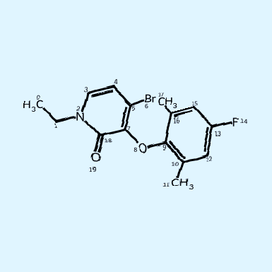 CCn1ccc(Br)c(Oc2c(C)cc(F)cc2C)c1=O